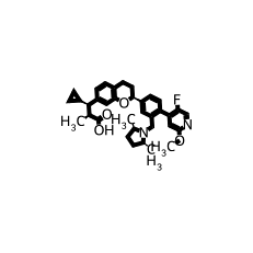 COc1cc(-c2ccc([C@@H]3CCc4ccc([C@H](C5CC5)[C@H](C)C(=O)O)cc4O3)cc2CN2[C@H](C)CC[C@@H]2C)c(F)cn1